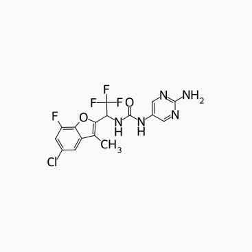 Cc1c(C(NC(=O)Nc2cnc(N)nc2)C(F)(F)F)oc2c(F)cc(Cl)cc12